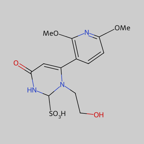 COc1ccc(C2=CC(=O)NC(S(=O)(=O)O)N2CCO)c(OC)n1